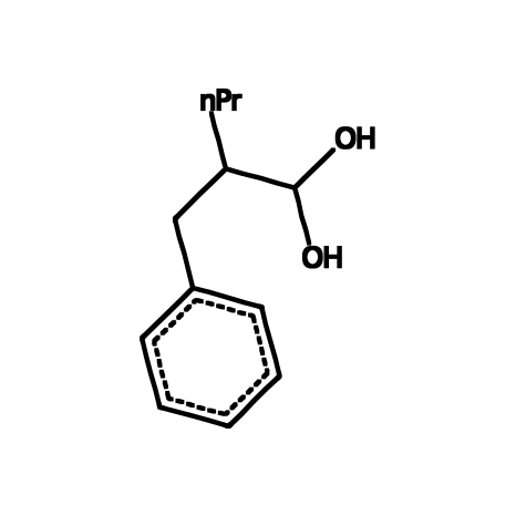 CCCC(Cc1ccccc1)C(O)O